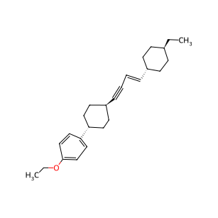 CCOc1ccc([C@H]2CC[C@H](C#CC=C[C@H]3CC[C@H](CC)CC3)CC2)cc1